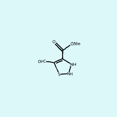 COC(=O)C1=C(C=O)SNN1